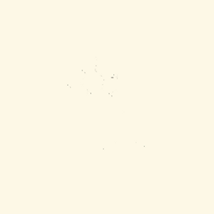 CC(C)(C)OCC(COC(C)(C)C)OCn1cnc2c(=O)[nH]c(N)nc21